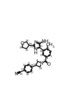 Cc1ccc(C(=O)N2CC(c3ccc(C#N)cc3)C2)cc1-c1[nH]c(C2CCOC2)nc1N